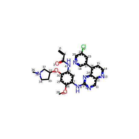 C=CC(=O)Nc1cc(Nc2ncc3nccc(-c4cncc(Cl)c4)c3n2)c(OC)cc1OC1CCN(C)C1